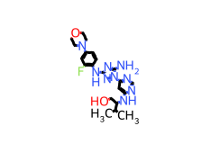 CC(C)C(CO)Nc1cc(-n2nc(Nc3ccc(N4CCOCC4)cc3F)nc2N)ncn1